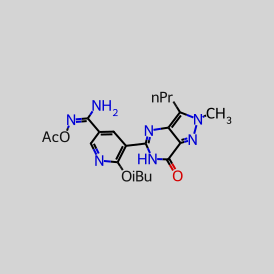 CCCc1c2nc(-c3cc(/C(N)=N\OC(C)=O)cnc3OCC(C)C)[nH]c(=O)c2nn1C